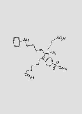 COS(=O)(=O)c1ccc2c(c1)C(C)(CCCS(=O)(=O)O)C(/C=C/C=C/Nc1ccccc1)=[N+]2CCCCCC(=O)O